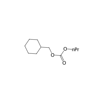 CCCOC(=O)OCC1CCCCC1